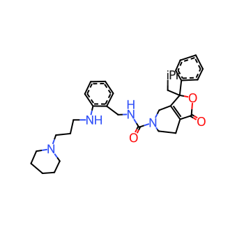 CC(C)CC1(c2ccccc2)OC(=O)C2=C1CN(C(=O)NCc1ccccc1NCCCN1CCCCC1)CC2